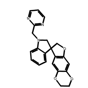 c1cnc(CN2CC3(COc4cc5c(cc43)OCCO5)c3ccccc32)nc1